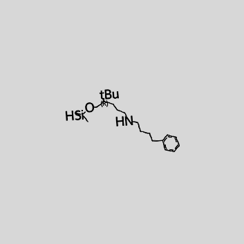 C[SiH](C)OC[C@H](CCCNCCCCc1ccccc1)C(C)(C)C